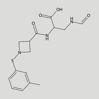 Cc1cccc(SN2CC(C(=O)NC(CNC=O)C(=O)O)C2)c1